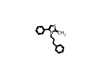 C=C1SC=C(c2ccccc2)N1CCCc1ccccc1